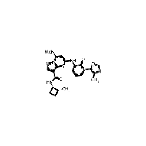 CNc1cc(Nc2cccn(-c3ocnc3C)c2=O)nc2c(C(=O)N[C@H]3CC[C@H]3C)cnn12